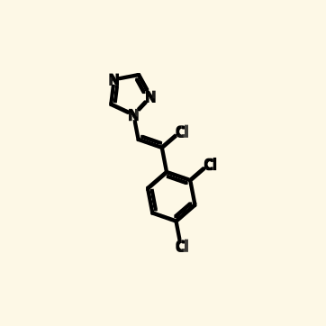 Cl/C(=C\n1cncn1)c1ccc(Cl)cc1Cl